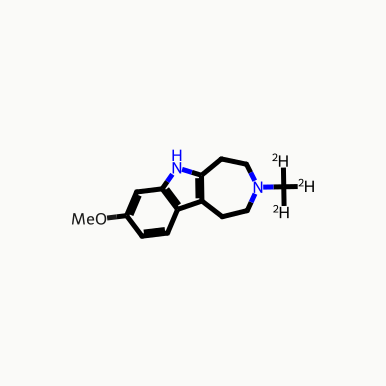 [2H]C([2H])([2H])N1CCc2[nH]c3cc(OC)ccc3c2CC1